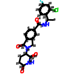 CC(NC(=O)c1ccc2c(c1)CN(C1CCC(=O)NC1=O)C2=O)c1ccc(F)cc1Cl